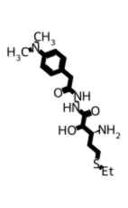 CCSCC[C@@H](N)C(O)C(=O)NNC(=O)Cc1ccc(N(C)C)cc1